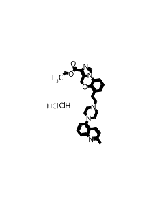 Cc1ccc2c(N3CCN(CCc4cccc5c4OCc4c(C(=O)OCC(F)(F)F)ncn4-5)CC3)cccc2n1.Cl.Cl